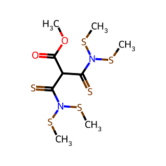 COC(=O)C(C(=S)N(SC)SC)C(=S)N(SC)SC